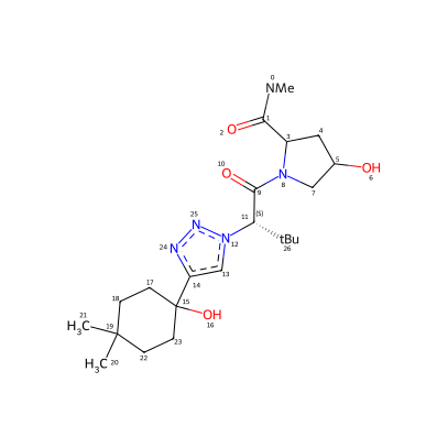 CNC(=O)C1CC(O)CN1C(=O)[C@@H](n1cc(C2(O)CCC(C)(C)CC2)nn1)C(C)(C)C